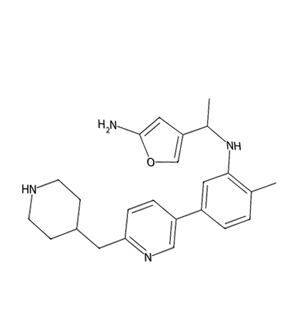 Cc1ccc(-c2ccc(CC3CCNCC3)nc2)cc1NC(C)c1coc(N)c1